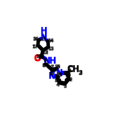 Cc1cccc2nc(CNC(=O)C3CCNCC3)cn12